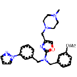 COc1cccc(CN(Cc2cccc(-n3cccn3)c2)c2nc(CN3CCN(C)CC3)co2)c1